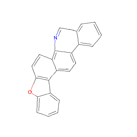 c1ccc2c(c1)cnc1c2ccc2c1ccc1oc3ccccc3c12